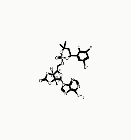 CC1(C)CC(c2cc(Br)cc(F)c2F)OP(=O)(OC[C@H]2O[C@@H](n3cnc4c(N)ncnc43)[C@]3(C)OC(=O)O[C@H]23)O1